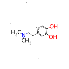 CN(C)CCc1ccc(O)c(O)c1